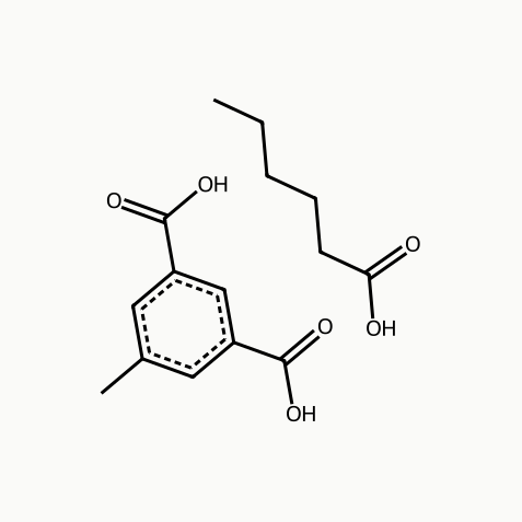 CCCCCC(=O)O.Cc1cc(C(=O)O)cc(C(=O)O)c1